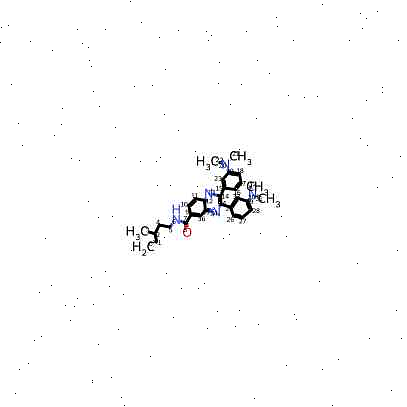 C=CC(C)CCNC(=O)c1ccc2nc(-c3cccc(N(C)C)c3)c(-c3cccc(N(C)C)c3)nc2c1